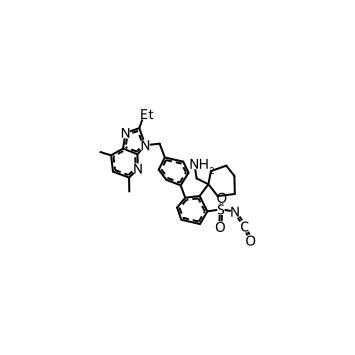 CCc1nc2c(C)cc(C)nc2n1Cc1ccc(-c2cccc(S(=O)(=O)N=C=O)c2C2(CN)CCCCC2)cc1